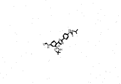 CC(C)NC(=S)Nc1ccc(-c2ncc(-c3ccc(NC=O)cc3S(=O)(=O)NC(C)(C)C)s2)cc1